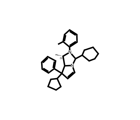 Cc1ccccc1N1C(C2CCCCC2)N2C=CC(c3ccccc3)(C3CCCC3)C2[C@@H]1C